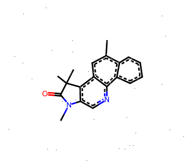 Cc1cc2c3c(cnc2c2ccccc12)N(C)C(=O)C3(C)C